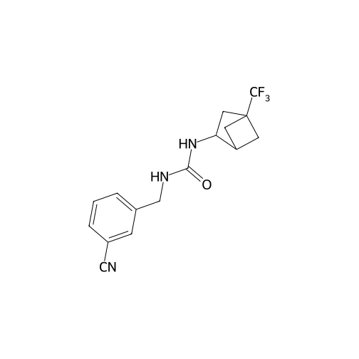 N#Cc1cccc(CNC(=O)NC2CC3(C(F)(F)F)CC2C3)c1